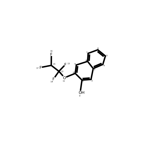 Oc1cc2ccccc2cc1OC(F)(F)C(F)F